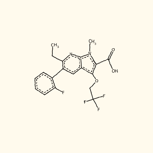 CCc1nc2c(cc1-c1ccccc1F)c(OCC(F)(F)F)c(C(=O)O)n2C